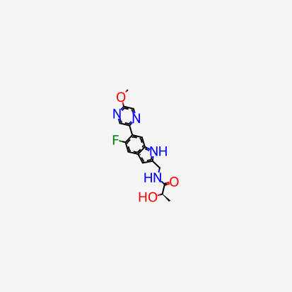 COc1cnc(-c2cc3[nH]c(CNC(=O)[C@@H](C)O)cc3cc2F)cn1